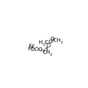 C=C(COc1ccc(OC(F)(F)F)cc1)CSc1ccc(OCC(C)=O)c(C)c1